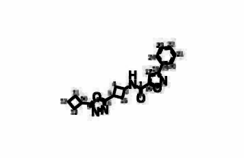 O=C(NC1CC(c2nnc(C3CCC3)o2)C1)c1cc(-c2ccccc2)no1